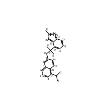 CC(C)c1cncc2cc(CC(C)(C)c3cccc4nn(C)cc34)ccc12